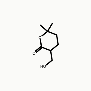 CC1(C)CCC(CO)C(=O)O1